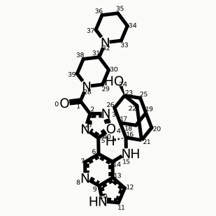 O=C(c1noc(-c2cnc3[nH]ccc3c2N[C@H]2C3CC4CC2C[C@@](O)(C4)C3)n1)N1CCC(N2CCCCC2)CC1